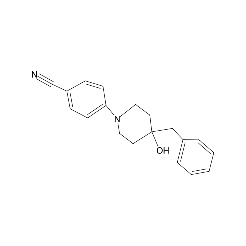 N#Cc1ccc(N2CCC(O)(Cc3ccccc3)CC2)cc1